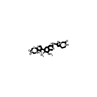 Cc1c(-c2cc3cc(Nc4cc5n(n4)CC(=O)NCC5)ncc3c(N)c2F)cnc2c1NCS(=O)(=O)CO2